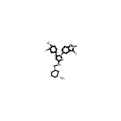 Cn1nc2ccc(-n3nc(NC[C@@H]4CCC[C@@H](N)C4)cc3-c3ccc(C#N)c(F)c3)cc2c1Cl